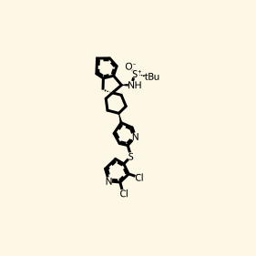 CC(C)(C)[S@@+]([O-])N[C@@H]1c2ccccc2C[C@]12CC[C@H](c1ccc(Sc3ccnc(Cl)c3Cl)nc1)CC2